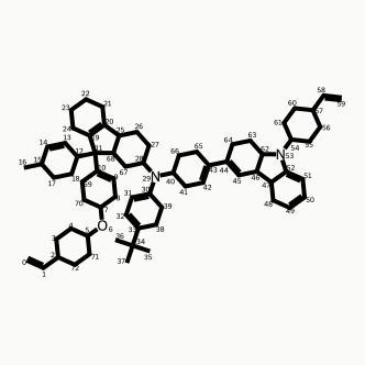 C=CC1CCC(OC2CC=C(C3(C4C=CC(C)CC4)C4=C(CCCC4)C4CCC(N(C5=CC=C(C(C)(C)C)CC5)C5CC=C(C6=CC7C8CC=CC=C8N(C8CCC(C=C)CC8)C7CC6)CC5)CC43)CC2)CC1